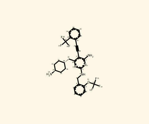 Nc1nc(NCc2ccccc2OC(F)(F)F)nc(C[C@H]2CC[C@H](N)CC2)c1C#Cc1ccccc1C(F)(F)F